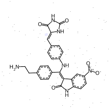 NCCc1ccc(C(Nc2ccc(/C=C3\NC(=O)NC3=O)cc2)=C2C(=O)Nc3ccc([N+](=O)[O-])cc32)cc1